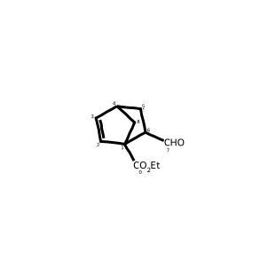 CCOC(=O)C12C=CC([CH]C1C=O)C2